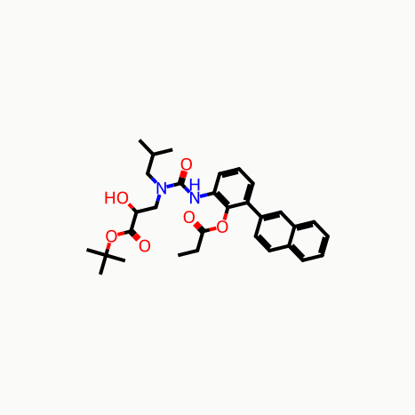 CCC(=O)Oc1c(NC(=O)N(CC(C)C)CC(O)C(=O)OC(C)(C)C)cccc1-c1ccc2ccccc2c1